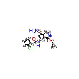 NSc1cc(NC(=O)Cc2ccccc2Cl)cc2c(OCC3CC3)nccc12